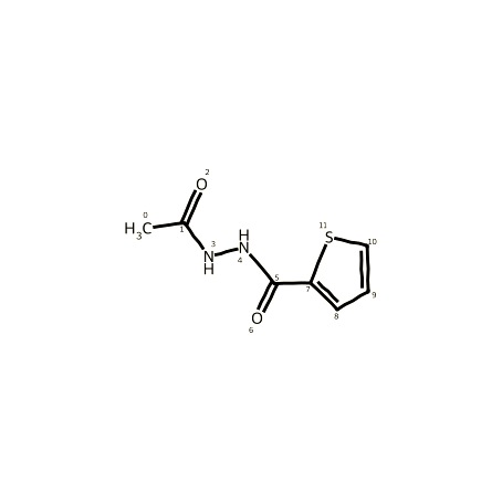 CC(=O)NNC(=O)c1cccs1